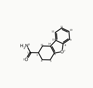 NC(=O)C1CCc2oc3ccccc3c2C1